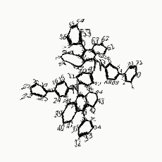 c1ccc(-c2ccc(N(c3ccc(N(c4ccc(-c5ccccc5)cc4)c4c5c(c(-c6ccccc6)c6c4CCCC6)CCCC5)cc3)c3c4c(c(-c5ccccc5)c5c3CCCC5)CCCC4)cc2)cc1